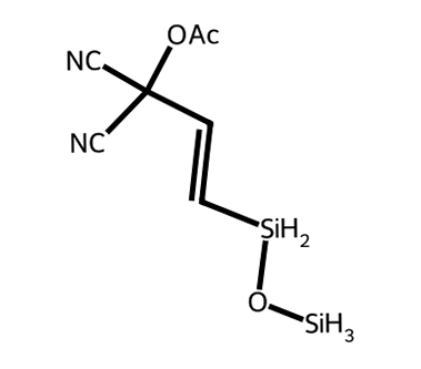 CC(=O)OC(C#N)(C#N)C=C[SiH2]O[SiH3]